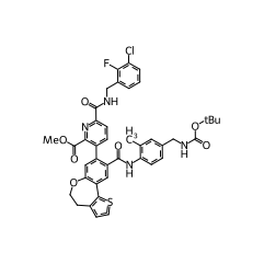 COC(=O)c1nc(C(=O)NCc2cccc(Cl)c2F)ccc1-c1cc2c(cc1C(=O)Nc1ccc(CNC(=O)OC(C)(C)C)cc1C)-c1sccc1CCO2